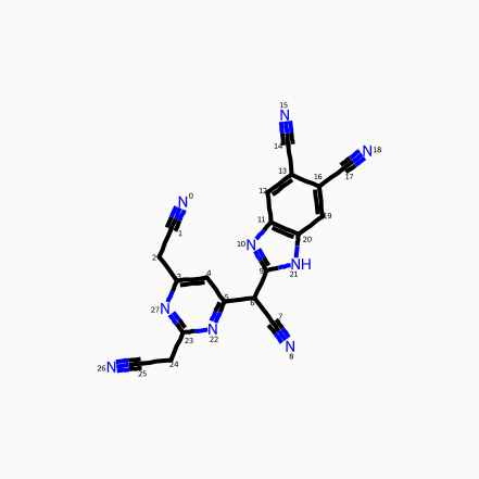 N#CCc1cc(C(C#N)c2nc3cc(C#N)c(C#N)cc3[nH]2)nc(CC#N)n1